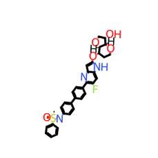 C[S@](=O)(=Nc1ccc(-c2ccc(-c3nc4cc(O[C@@H]5CCO[C@H]6[C@@H]5OC[C@H]6O)[nH]c4cc3F)cc2)cc1)c1ccccc1